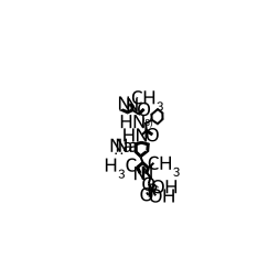 Cc1nn(COP(=O)(O)O)c(C)c1-c1ccc(NC(=O)[C@@H](NC(=O)c2ccnn2C)C2CCCCC2)cc1.[Na].[Na]